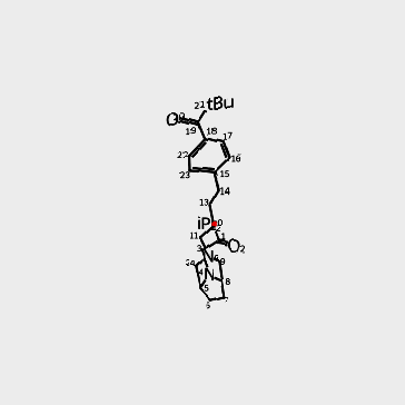 CC(C)C(=O)CN1C2CCC1CN(CCCCc1ccc(C(=O)C(C)(C)C)cc1)C2